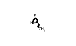 C/C=C/[C@@H]1C[C@@H](F)CN1